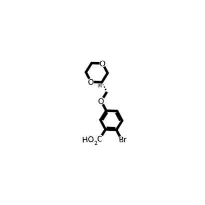 O=C(O)c1cc(OC[C@H]2COCCO2)ccc1Br